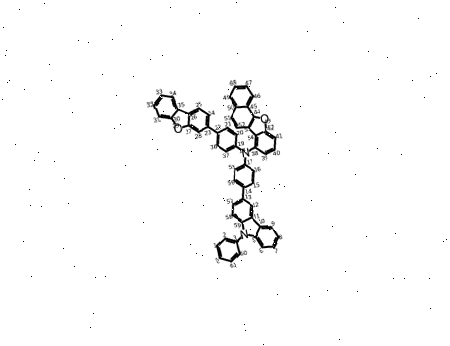 c1ccc(-n2c3ccccc3c3cc(-c4ccc(N(c5ccc(-c6ccc7c(c6)oc6ccccc67)cc5)c5cccc6oc7c8ccccc8ccc7c56)cc4)ccc32)cc1